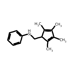 CC1=C(C)C(C[SiH]c2ccccc2)C(C)=C1C